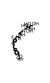 CC(C)OC(=O)N1CCC2(CC1)CC(CCOc1ccc(CC(=O)N3CC(CNCC(O)C(O)C(O)[C@H](O)CO)C3)c(F)c1)C2